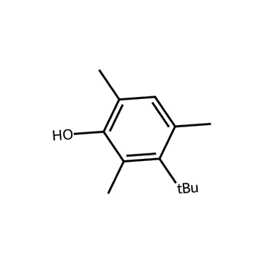 Cc1cc(C)c(C(C)(C)C)c(C)c1O